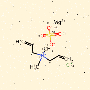 C=CC[N+](C)(C)CC=C.O=S(=O)([O-])[O-].[Cl-].[Mg+2]